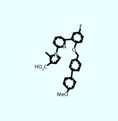 COc1ccc(-c2ccc(COc3ccc(F)cc3-c3cccc(-n4ccc(C(=O)O)c4C)n3)cc2)cc1